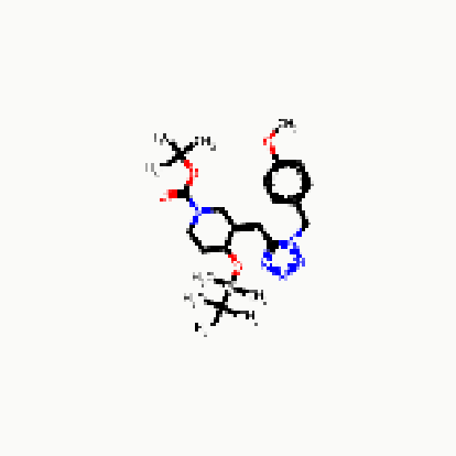 COc1ccc(Cn2nnnc2C=C2CN(C(=O)OC(C)(C)C)CCC2O[Si](C)(C)C(C)(C)C)cc1